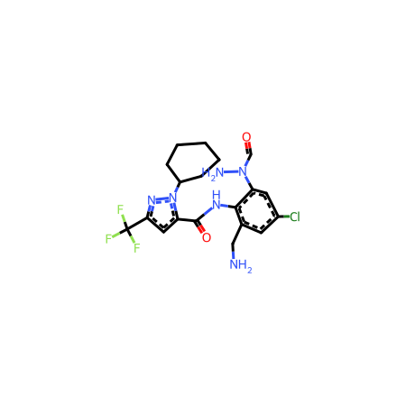 NCc1cc(Cl)cc(N(N)C=O)c1NC(=O)c1cc(C(F)(F)F)nn1C1CCCCC1